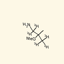 [2H]C([2H])([2H])C(C)(OC)C([2H])([2H])N